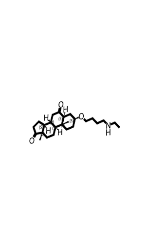 CCNCCCCO[C@H]1CC[C@@]2(C)[C@H](C1)C(=O)C[C@@H]1[C@@H]2CC[C@]2(C)C(=O)CC[C@@H]12